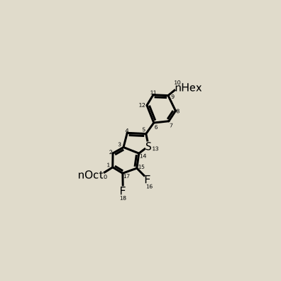 CCCCCCCCc1cc2cc(-c3ccc(CCCCCC)cc3)sc2c(F)c1F